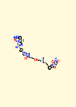 CNC(=O)c1ccccc1Nc1nc(Nc2ccc(N3CCN(C(=O)NCCCCOCCCCNCCC#Cc4cccc5c4CN(C4CCC(=O)NC4=O)C5=O)CC3)cc2)ncc1Cl